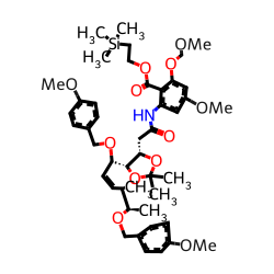 COCOc1cc(OC)cc(NC(=O)C[C@@H]2OC(C)(C)O[C@@H]2C(/C=C\[C@@H](C)[C@@H](C)OCc2ccc(OC)cc2)OCc2ccc(OC)cc2)c1C(=O)OCC[Si](C)(C)C